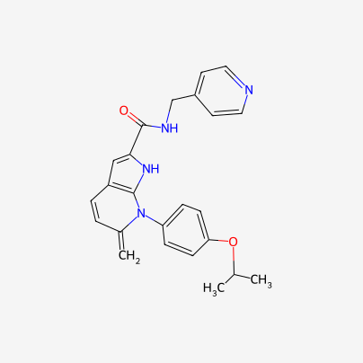 C=C1C=Cc2cc(C(=O)NCc3ccncc3)[nH]c2N1c1ccc(OC(C)C)cc1